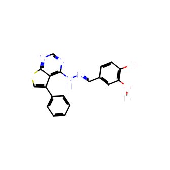 CCOc1cc(/C=N/Nc2ncnc3scc(-c4ccccc4)c23)ccc1O